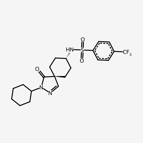 O=C1N(C2CCCCC2)N=C[C@]12CC[C@@H](NS(=O)(=O)c1ccc(C(F)(F)F)cc1)CC2